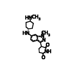 CN[C@H]1CC[C@H](Nc2ccc3c(C4CCC(=O)NC4=O)nn(C)c3c2)CC1